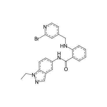 CCn1ncc2cc(NC(=O)c3ccccc3NCc3ccnc(Br)c3)ccc21